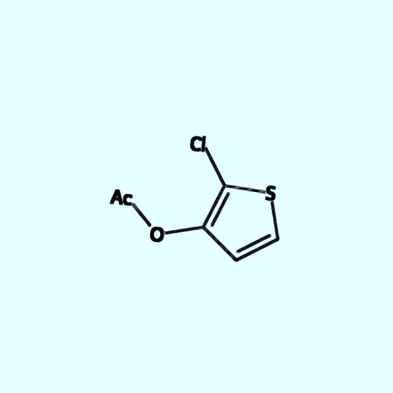 CC(=O)Oc1ccsc1Cl